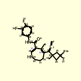 C=C=C(/C1=C(C)/C(C(=O)Nc2ccc(F)c(F)c2)=C\NCCC1)C1(C)CC(F)(F)C1